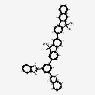 CC1(C)c2cc(-c3cc(-c4nc5ccccc5o4)cc(-c4nc5ccccc5o4)c3)ccc2-c2ccc(-c3ccc4c(c3)C(C)(C)c3cc5ccccc5cc3-4)cc21